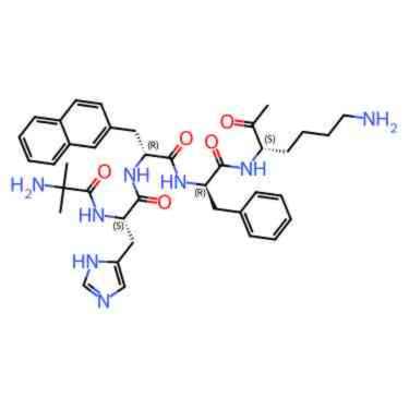 CC(=O)[C@H](CCCCN)NC(=O)[C@@H](Cc1ccccc1)NC(=O)[C@@H](Cc1ccc2ccccc2c1)NC(=O)[C@H](Cc1cnc[nH]1)NC(=O)C(C)(C)N